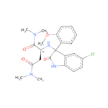 COc1ccccc1C1(N[C@@H](CC(=O)N(C)C)C(=O)N(C)C)C(=O)Nc2ccc(Cl)cc21